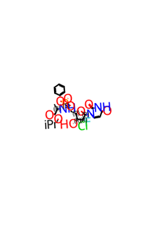 CC(C)OC(=O)[C@@H](C)N[P@](=O)(OC[C@H]1O[C@@H](n2ccc(=O)[nH]c2=O)[C@](F)(Cl)[C@@H]1O)Oc1ccccc1